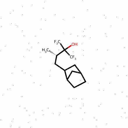 C[C@@H](CC1CC2CCC1C2)C(O)(C(F)(F)F)C(F)(F)F